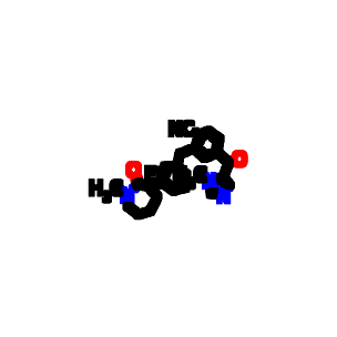 CCC1(c2cccc(Cc3cc(C(=O)c4cncn4C)ccc3C#N)c2)CCCCN(C)C1=O